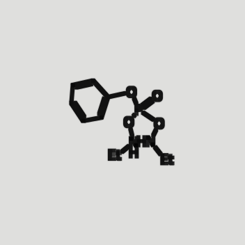 CCNOP(=O)(ONCC)Oc1ccccc1